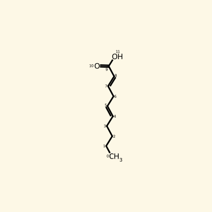 CCCCC=CCC=CC(=O)O